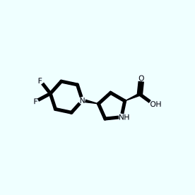 O=C(O)[C@@H]1C[C@H](N2CCC(F)(F)CC2)CN1